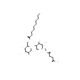 CCCCCCCCCC(=O)OCC1O[C@@H](O[C@@H]2O[C@H](COC(=O)CCC(=O)O)[C@H](O)C(O)C2O)C(O)[C@@H](O)[C@@H]1O